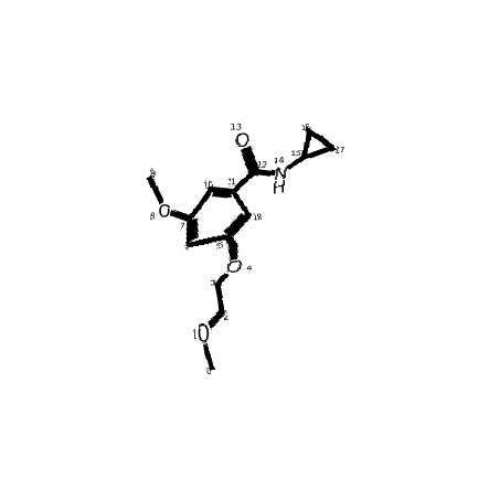 COCCOc1cc(OC)cc(C(=O)NC2CC2)c1